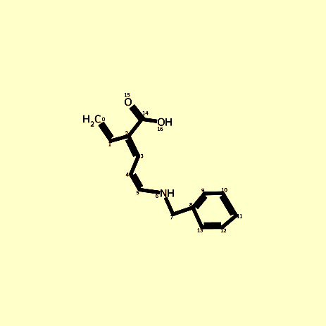 C=C/C(=C\C=C/NCc1ccccc1)C(=O)O